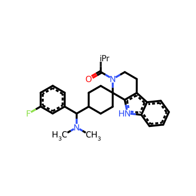 CC(C)C(=O)N1CCc2c([nH]c3ccccc23)C12CCC(C(c1cccc(F)c1)N(C)C)CC2